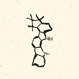 CC1(C)c2ccc3[nH]c4c(ccc5c6ccccc6[nH]c54)c3c2C(C)(C)C1(C)C